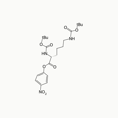 CC(C)(C)OC(=O)NCCCC[C@@H](NC(=O)OC(C)(C)C)C(=O)Oc1ccc([N+](=O)[O-])cc1